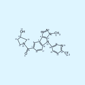 Cn1nnc2c3cc(C(=O)N4CCC(O)C4)ccc3n(-c3ccc(C(F)(F)F)nc3)c21